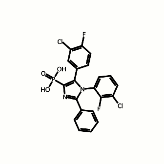 O=P(O)(O)c1nc(-c2ccccc2)n(-c2cccc(Cl)c2F)c1-c1ccc(F)c(Cl)c1